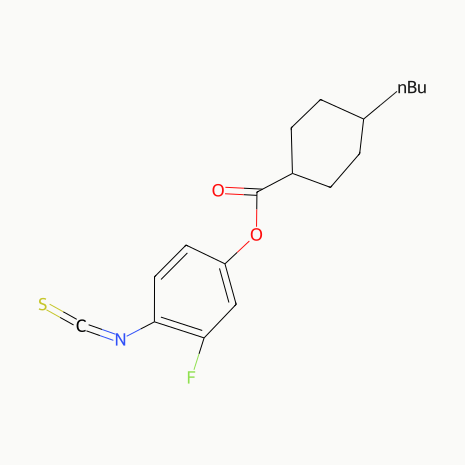 CCCCC1CCC(C(=O)Oc2ccc(N=C=S)c(F)c2)CC1